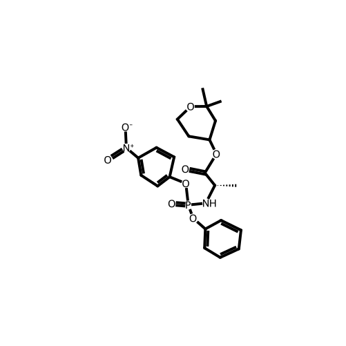 C[C@H](NP(=O)(Oc1ccccc1)Oc1ccc([N+](=O)[O-])cc1)C(=O)OC1CCOC(C)(C)C1